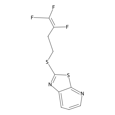 FC(F)=C(F)CCSc1nc2cccnc2s1